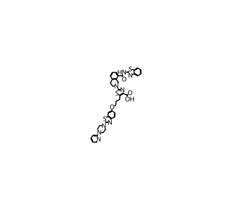 O=C(Nc1nc2ccccc2s1)c1cccc2c1CN(c1nc(C(=O)O)c(CCCOc3ccc4nc(N5CCN(c6ccccn6)CC5)sc4c3)s1)CC2